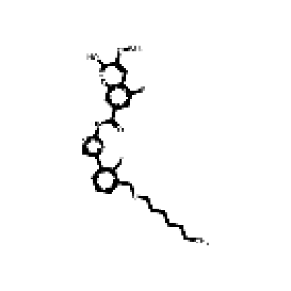 CCCCCCCOCc1cccc(-c2csc(NC(=O)c3cc(F)c(/C=C(/OC)C(=O)O)c(F)c3)n2)c1F